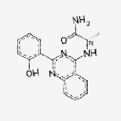 C[C@H](Nc1nc(-c2ccccc2O)nc2ccccc12)C(N)=O